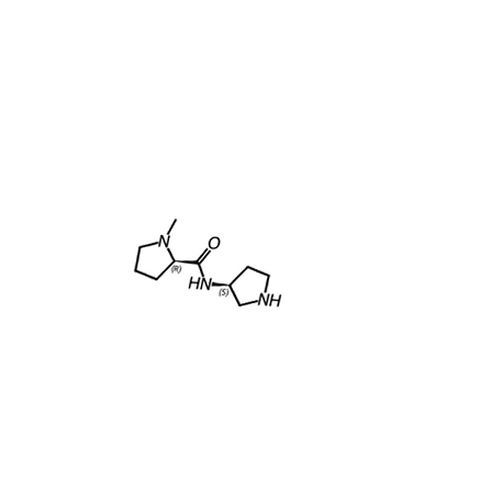 CN1CCC[C@@H]1C(=O)N[C@H]1CCNC1